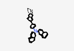 N#Cc1ccc2cc(-c3ccc(N(c4ccc5ccccc5c4)c4ccc5ccccc5c4)cc3)ccc2c1